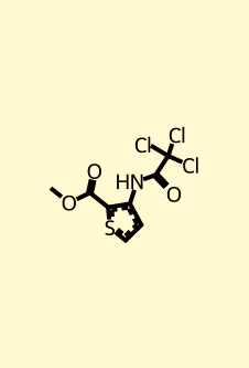 COC(=O)c1sccc1NC(=O)C(Cl)(Cl)Cl